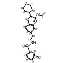 CCOC(=O)C(Oc1ccc(CCNC(=O)c2cccc(Cl)c2)cc1)C1CCCCC1